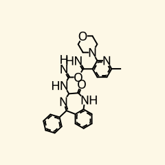 Cc1ccc(C(=N)OC(=N)NC2N=C(c3ccccc3)c3ccccc3NC2=O)c(N2CCOCC2)n1